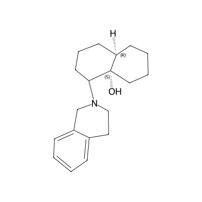 O[C@@]12CCCC[C@@H]1CCCC2N1CCc2ccccc2C1